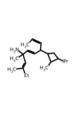 C/C=C\C(C=CC(C)(N)/C=C(\C)CC)C1CC(C(C)C)C1C